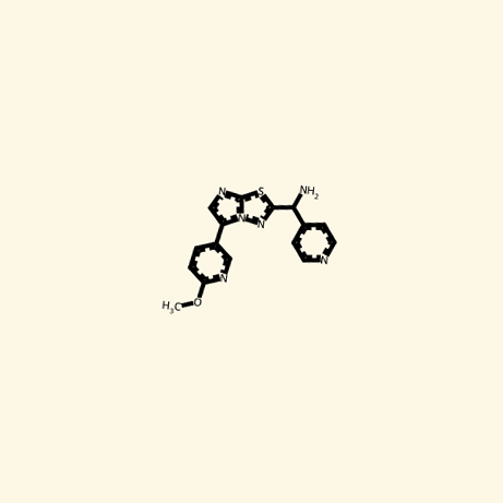 COc1ccc(-c2cnc3sc(C(N)c4ccncc4)nn23)cn1